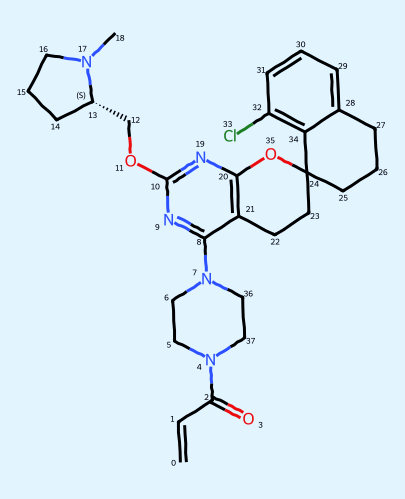 C=CC(=O)N1CCN(c2nc(OC[C@@H]3CCCN3C)nc3c2CCC2(CCCc4cccc(Cl)c42)O3)CC1